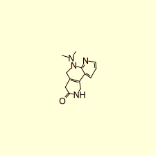 CN(C)N1CC2=C(CNC(=O)C2)c2cccnc21